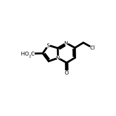 O=C(O)c1cn2c(=O)cc(CCl)nc2s1